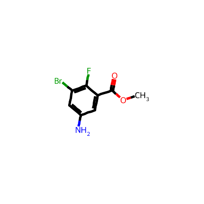 COC(=O)c1cc(N)cc(Br)c1F